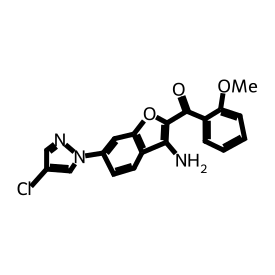 COc1ccccc1C(=O)c1oc2cc(-n3cc(Cl)cn3)ccc2c1N